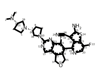 CN(C)[C@H]1CCN([C@@H]2CCN(c3ncc4c5c(c(-c6ncc(F)c7sc(N)c(C#N)c67)c(F)c4n3)COC5)C2)C1